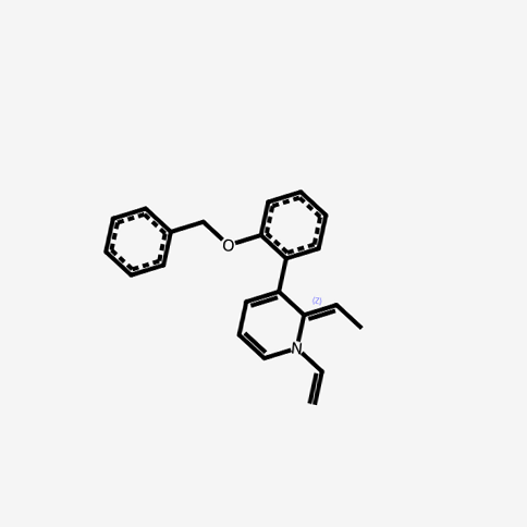 C=CN1C=CC=C(c2ccccc2OCc2ccccc2)/C1=C/C